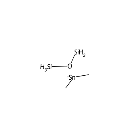 [CH3][Sn][CH3].[SiH3]O[SiH3]